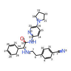 N#Cc1ccc(CCN[C@H](C(=O)Nc2ccc(N3CCCC3)cn2)C2C=CC=CC2)cc1